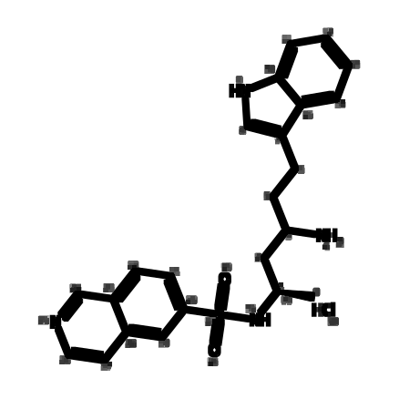 C[C@H](CC(N)CCc1c[nH]c2ccccc12)NS(=O)(=O)c1ccc2cnccc2c1.Cl